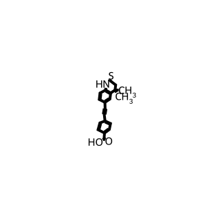 CC1(C)CC(=S)Nc2ccc(C#Cc3ccc(C(=O)O)cc3)cc21